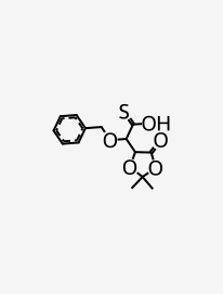 CC1(C)OC(=O)C(C(OCc2ccccc2)C(O)=S)O1